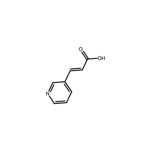 O=C(O)/C=C/c1cc[c]nc1